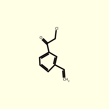 C=Cc1cccc(C(=O)CCl)c1